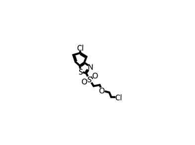 O=S(=O)(CCOCCCl)c1nc2cc(Cl)ccc2s1